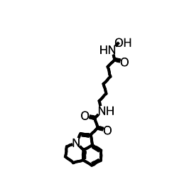 O=C(CCCCCNC(=O)C(=O)c1cn2c3c(cccc13)CCC2)NO